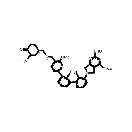 COc1nc(-c2cccc(-c3cccc(N4Cc5nc(C=O)nc(OC)c5C4)c3Cl)c2Cl)ccc1CNC[C@@H]1CCC(=O)C(C)C1